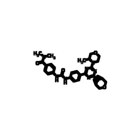 CC1COCCN1c1nc(-c2ccc(NC(=O)Nc3ccc(C(=O)N(C)C)cc3)cc2)nc(N2C3CCC2COC3)n1